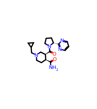 NC(=O)[C@H]1CCN(CC2CC2)C[C@H]1C(=O)N1CCC[C@@H]1c1ncccn1